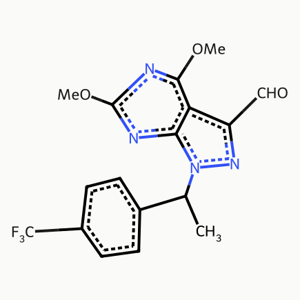 COc1nc(OC)c2c(C=O)nn(C(C)c3ccc(C(F)(F)F)cc3)c2n1